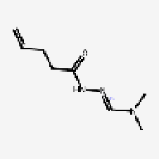 C=CCCC(=O)N/N=C/N(C)C